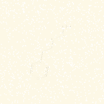 O=COOCCc1ccccc1